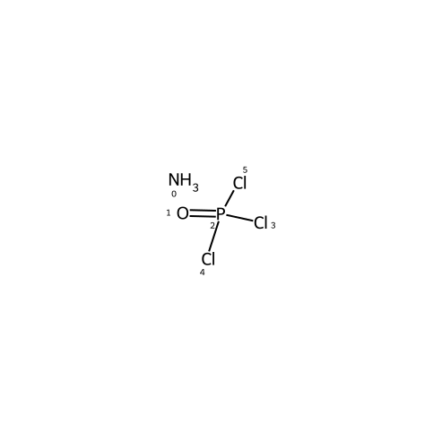 N.O=P(Cl)(Cl)Cl